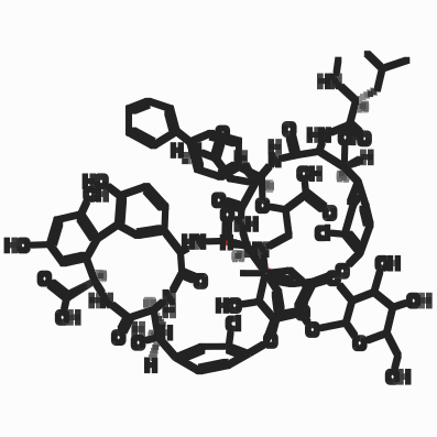 CN[C@H](CC(C)C)C(=O)NC1C(=O)N[C@@H](CC(N)=O)C(=O)N[C@H]2C(=O)NC3C(=O)N[C@H](C(=O)N[C@@H](C(=O)O)c4cc(O)cc(O)c4-c4cc3ccc4O)[C@H](O)c3ccc(c(Cl)c3)Oc3cc2cc(c3OC2OC(CO)C(O)C(O)C2OC2CC(C)(NCC(OCc3ccc(-c4ccccc4)cc3)C(=O)O)C(O)C(C)O2)Oc2ccc(cc2Cl)[C@H]1O